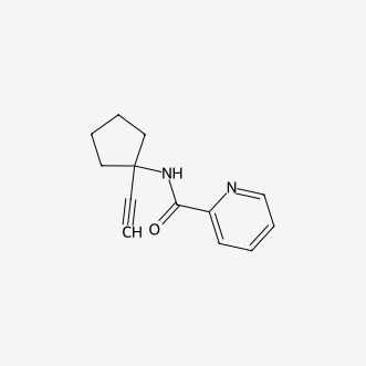 C#CC1(NC(=O)c2ccccn2)CCCC1